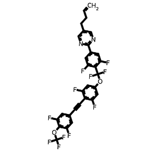 C=CCCc1cnc(-c2cc(F)c(C(F)(F)Oc3cc(F)c(C#Cc4cc(F)c(OC(F)(F)F)c(F)c4)c(F)c3)c(F)c2)nc1